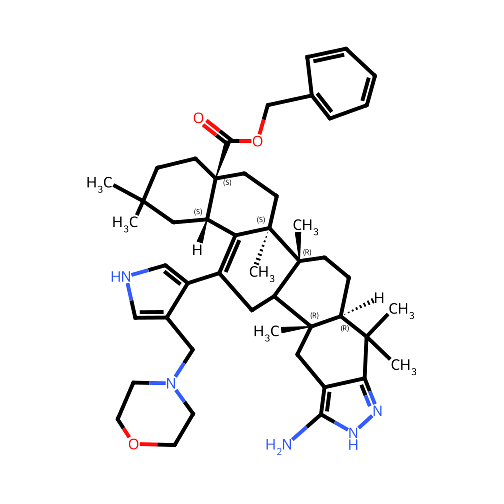 CC1(C)CC[C@]2(C(=O)OCc3ccccc3)CC[C@]3(C)C(=C(c4c[nH]cc4CN4CCOCC4)CC4[C@@]5(C)Cc6c(n[nH]c6N)C(C)(C)[C@@H]5CC[C@]43C)[C@@H]2C1